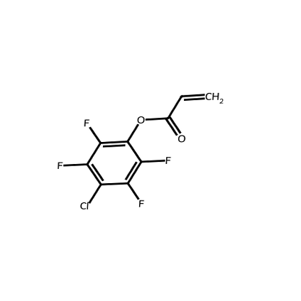 C=CC(=O)Oc1c(F)c(F)c(Cl)c(F)c1F